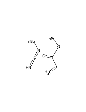 C=CC(=O)OCCC.CCCCN=C=N